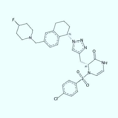 O=C1NC=CN(S(=O)(=O)c2ccc(Cl)cc2)[C@@H]1Cc1cn([C@H]2CCCc3cc(CN4CCC(F)CC4)ccc32)nn1